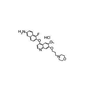 COc1cc2c(Oc3ccc4cc(N)ccc4c3F)ccnc2cc1OCCCN1CCOCC1.Cl